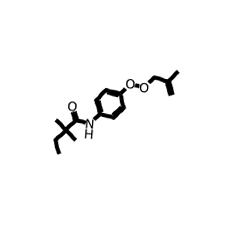 C=C(C)COOc1ccc(NC(=O)C(C)(C)CC)cc1